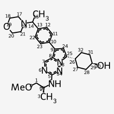 COC[C@H](C)Nc1ncc2c(-c3ccc(C(C)N4CCOCC4)cc3)cc([C@H]3CC[C@H](O)CC3)n2n1